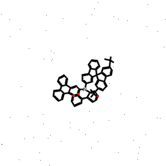 CC(C)(C)c1ccc2c(c1)C1(c3ccccc3-c3ccc(N(c4ccc5c6ccccc6c6ccccc6c5c4)c4ccccc4-c4ccccc4)cc31)c1cc(C(C)(C)C)ccc1-2